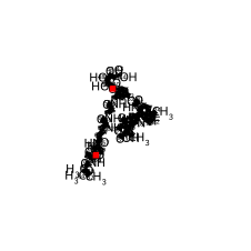 CC[C@@]1(O)C(=O)OCc2c1cc1n(c2=O)Cc2c-1nc1cc(F)c(C)c3c1c2[C@@H](NC(=O)OCc1ccc(O[C@@H]2O[C@H](C(=O)O)[C@@H](O)[C@H](O)[C@H]2O)c(CNC(=O)CCNC(=O)[C@@H](N)CCCC(=O)N[C@H]2CO[C@H]4[C@@H]2OC[C@@H]4NC(=O)OC(C)(C)C)c1)CC3